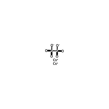 O=S(=O)([O-])S(=O)(=O)[O-].[Cs+].[Cs+]